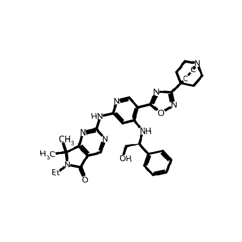 CCN1C(=O)c2cnc(Nc3cc(N[C@H](CO)c4ccccc4)c(-c4nc(C56CCN(CC5)CC6)no4)cn3)nc2C1(C)C